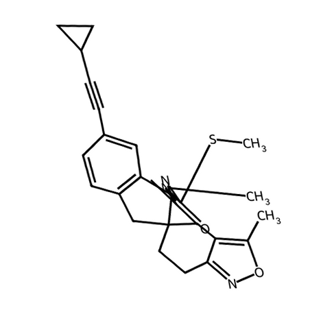 CSC1=NC2(C(=O)N1C)c1cc(C#CC3CC3)ccc1CC21CCc2noc(C)c2C1